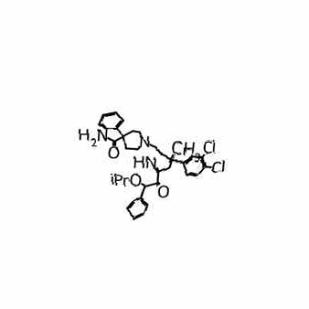 CC(C)OC(C(=O)C(=N)CC(C)(CCN1CCC(C(N)=O)(c2ccccc2)CC1)c1ccc(Cl)c(Cl)c1)c1ccccc1